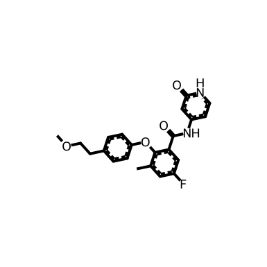 COCCc1ccc(Oc2c(C)cc(F)cc2C(=O)Nc2cc[nH]c(=O)c2)cc1